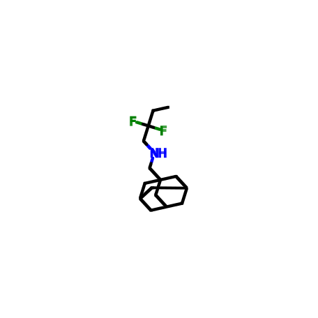 CCC(F)(F)CNCC12CC3CC(CC(C3)C1)C2